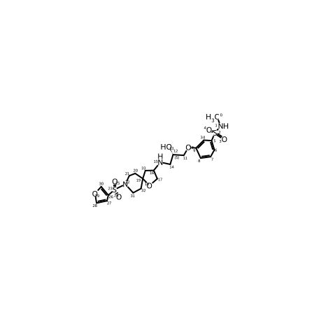 CNS(=O)(=O)c1cccc(OC[C@@H](O)CNC2COC3(CCN(S(=O)(=O)c4ccoc4)CC3)C2)c1